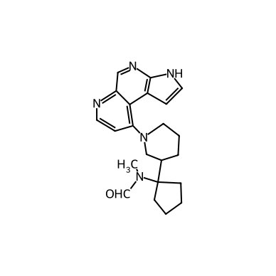 CN(C=O)C1(C2CCCN(c3ccnc4cnc5[nH]ccc5c34)C2)CCCC1